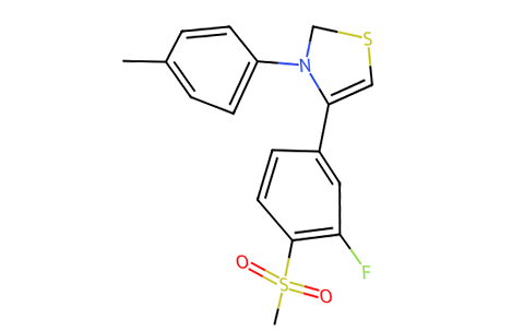 Cc1ccc(N2CSC=C2c2ccc(S(C)(=O)=O)c(F)c2)cc1